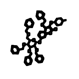 CC1CCC(Oc2c(OCc3ccccc3)c3ccc(O[C@H]4O[C@H](COCc5ccccc5)[C@@H](OCc5ccccc5)[C@H](OCc5ccccc5)[C@@H]4OCc4ccccc4)cc3oc2=O)CC1